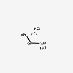 CCC[CH2][Sn][CH2]CC.Cl.Cl.Cl